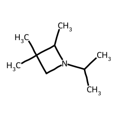 CC(C)N1CC(C)(C)C1C